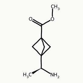 COC(=O)C12CC([C@H](C)N)(C1)C2